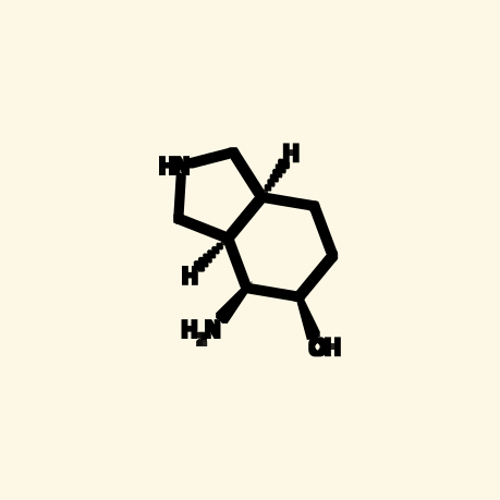 N[C@H]1[C@H]2CNC[C@H]2CC[C@H]1O